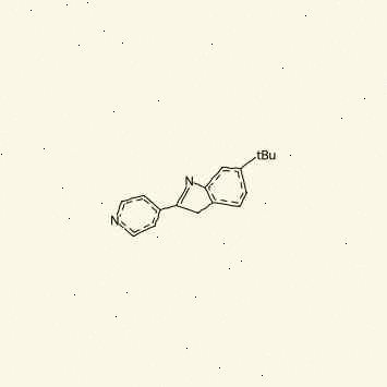 CC(C)(C)c1ccc2c(c1)N=C(c1ccncc1)C2